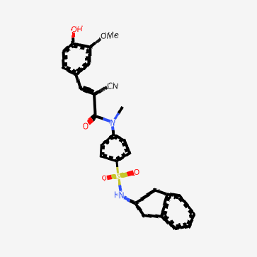 COc1cc(/C=C(\C#N)C(=O)N(C)c2ccc(S(=O)(=O)NC3Cc4ccccc4C3)cc2)ccc1O